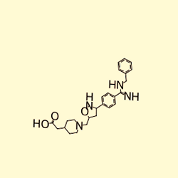 N=C(NCc1ccccc1)c1ccc(C2CC(CN3CCC(CC(=O)O)CC3)ON2)cc1